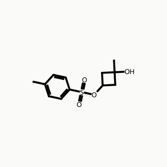 Cc1ccc(S(=O)(=O)OC2CC(C)(O)C2)cc1